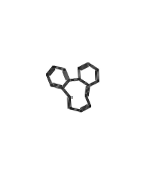 [C]1=C/C=C\C=C2/C=CC=CC2c2ccccc2/1